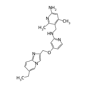 CCc1ccc2nc(COc3ccnc(NCc4c(C)cc(N)nc4C)c3)cn2c1